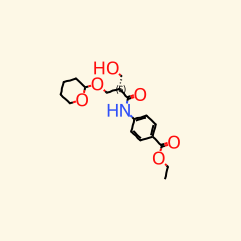 CCOC(=O)c1ccc(NC(=O)[C@@H](CO)COC2CCCCO2)cc1